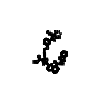 [C-]#[N+]c1c(-c2cccc(OCC#Cc3sc(N4CCc5cccc(C(=O)Nc6nc7ccccc7s6)c5C4)nc3C(=O)O)c2)n[nH]c1N